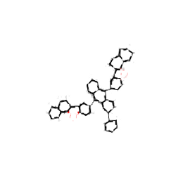 c1ccc(-c2ccc3c(-c4ccc5oc6c7ccccc7ccc6c5c4)c4ccccc4c(-c4ccc5oc6c7ccccc7ccc6c5c4)c3c2)cc1